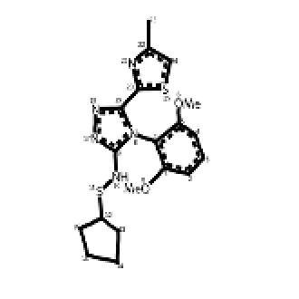 COc1cccc(OC)c1-n1c(NSC2CCCC2)nnc1-c1nc(C)cs1